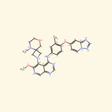 COc1ncc2ncnc(Nc3ccc(Oc4ccn5ncnc5c4)c(C)c3)c2c1N1CC2(COCCN2C)C1